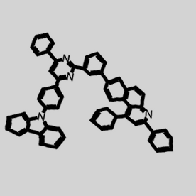 C1=CCC(c2cc(-c3ccccc3)nc3ccc4cc(-c5cccc(-c6nc(-c7ccccc7)cc(-c7ccc(-n8c9ccccc9c9ccccc98)cc7)n6)c5)ccc4c23)C=C1